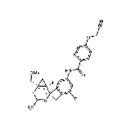 C#CCOc1ccc(C(=O)Nc2cc(F)c3c(c2)[C@@]2(C3)N=C(N)S[C@@]3(COC)C[C@H]32)nc1